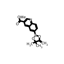 C=C1OB(c2ccc3ncc(C(=O)OC)cc3c2)OC1(C)C